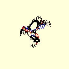 COc1ccc2c(O[C@@H]3C[C@H]4C(=O)NC5(C(=O)NS(=O)(=O)C6(C)CC6)CC5/C=C\CC[C@@H](C)C[C@@H](C)[C@H](NC(=O)NC(C)(C)C)C(=O)N4C3)nccc2c1